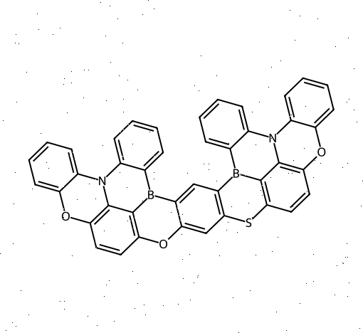 c1ccc2c(c1)Oc1ccc3c4c1N2c1ccccc1B4c1cc2c(cc1O3)Sc1ccc3c4c1B2c1ccccc1N4c1ccccc1O3